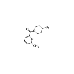 Cc1cccc(C(=O)N2CCC(C(C)C)CC2)n1